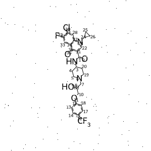 O=C(NC1CCN(C[C@H](O)COc2ccc(C(F)(F)F)cc2)CC1)c1cn(C2CC2)c2cc(Cl)c(F)cc2c1=O